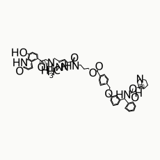 Cn1nc(C(=O)NCCCOC(=O)c2ccc(COc3cccc(C(NC(=O)O[C@H]4CN5CCC4CC5)c4ccccc4)c3)cc2)cc1CNC[C@@H](O)c1ccc(O)c2[nH]c(=O)ccc12